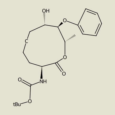 C[C@@H]1OC(=O)[C@@H](NC(=O)OC(C)(C)C)CCCC[C@H](O)[C@H]1Oc1ccccc1